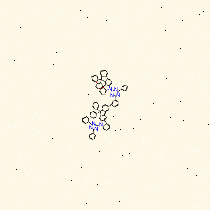 c1ccc(-c2nc(-c3ccccc3)nc(-n3c4ccccc4c4cc5c(cc43)C(c3ccccc3)(c3ccccc3)c3ccc(-c4cccc(-c6nc(-c7ccccc7)nc(-n7c8ccccc8c8c9c(ccc87)-c7ccccc7C9(c7ccccc7)c7ccccc7)n6)c4)cc3-5)n2)cc1